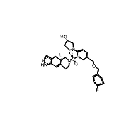 O=S(=O)(N1CCC2=Cc3[nH]ncc3C[C@H]2C1)N1CC(COCc2ccc(F)cc2)=CC=C1N1CC[C@H](O)C1